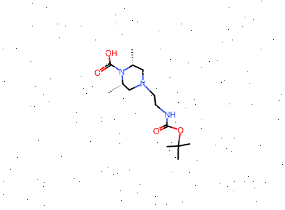 C[C@@H]1CN(CCNC(=O)OC(C)(C)C)C[C@H](C)N1C(=O)O